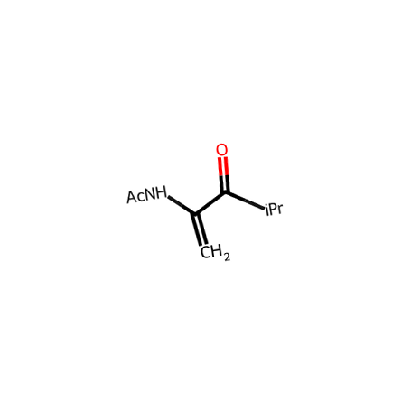 C=C(NC(C)=O)C(=O)C(C)C